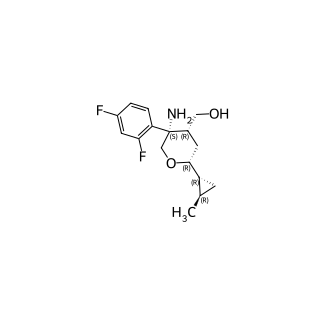 C[C@@H]1C[C@H]1[C@H]1C[C@@H](CO)[C@](N)(c2ccc(F)cc2F)CO1